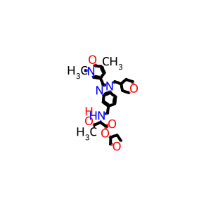 Cc1cc(-c2nc3cc(CN[C@H](C(=O)OC4CCOC4)[C@@H](C)O)ccc3n2CC2CCOCC2)cn(C)c1=O